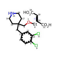 CCOCC1(Cc2ccc(Cl)c(Cl)c2)CCNCC1.O=C(O)/C=C/C(=O)O